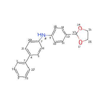 c1ccc(-c2ccc(Nc3ccc(C4OCCO4)cc3)cc2)cc1